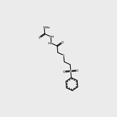 CNC(=S)NNC(=O)CSCCS(=O)(=O)c1ccccc1